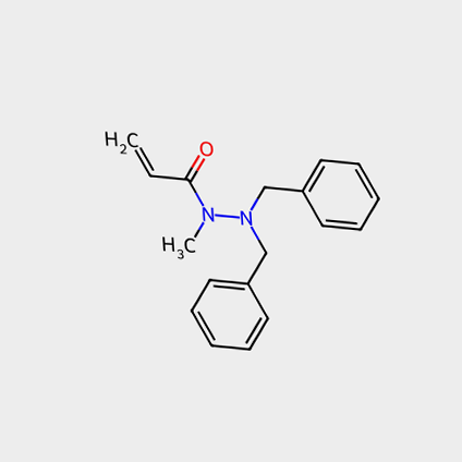 C=CC(=O)N(C)N(Cc1ccccc1)Cc1ccccc1